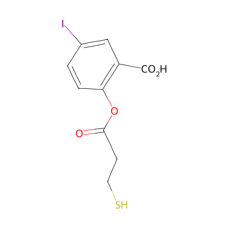 O=C(CCS)Oc1ccc(I)cc1C(=O)O